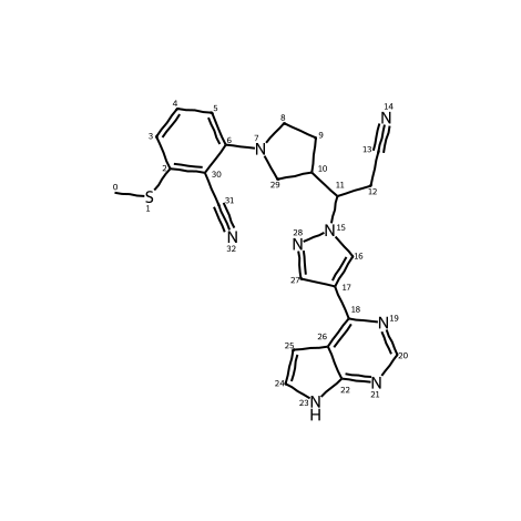 CSc1cccc(N2CCC(C(CC#N)n3cc(-c4ncnc5[nH]ccc45)cn3)C2)c1C#N